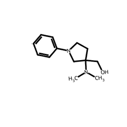 CN(C)C1(CO)CCN(c2cc[c]cc2)C1